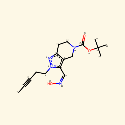 CC#CCCn1nc2c(c1/C=N\O)CN(C(=O)OC(C)(C)C)CC2